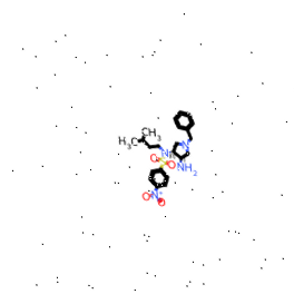 CC(C)CCN([C@@H]1CN(Cc2ccccc2)C[C@H]1N)S(=O)(=O)c1ccc([N+](=O)[O-])cc1